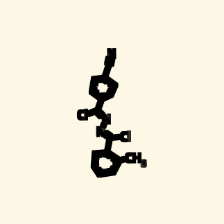 Cc1ccccc1C(Cl)=NN=C(Cl)c1ccc(C#N)cc1